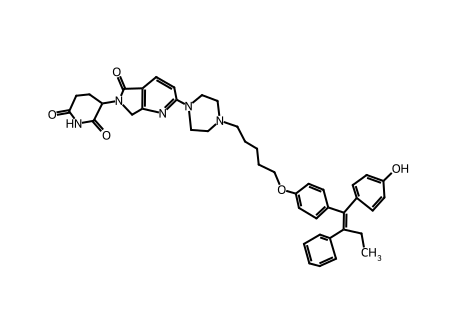 CC/C(=C(\c1ccc(O)cc1)c1ccc(OCCCCCN2CCN(c3ccc4c(n3)CN(C3CCC(=O)NC3=O)C4=O)CC2)cc1)c1ccccc1